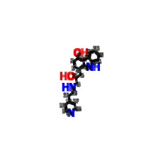 Oc1ccc(CC(O)CNCCc2ccncc2)c2[nH]c3ccccc3c12